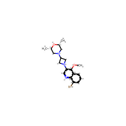 COc1c(N2CC(N3C[C@@H](C)O[C@@H](C)C3)C2)cnc2c(Br)cccc12